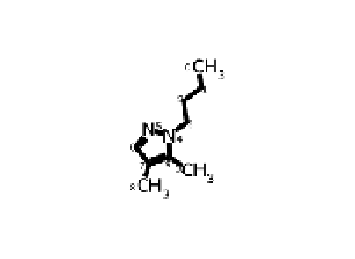 CCCCn1n[c]c(C)c1C